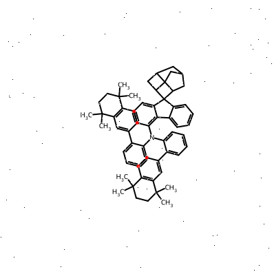 CC1(C)CCC(C)(C)c2cc(-c3ccccc3N(c3ccccc3-c3ccc4c(c3)C(C)(C)CCC4(C)C)c3cccc4c3-c3ccccc3C43C4CC5CC6CC3C64C5)ccc21